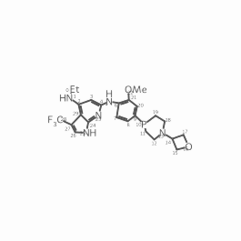 CCNc1cc(Nc2ccc(P3CCN(C4COC4)CC3)cc2OC)nc2[nH]cc(C(F)(F)F)c12